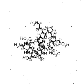 CC[C@H](C)[C@H](NC(=O)[C@H](CC(=O)O)NC(=O)[C@H](CC(=O)O)NC(=O)[C@@H]1CCCN1C(=O)[C@H](Cc1ccc(O)cc1)NC(=O)CN)C(=O)N[C@H](C(=O)N[C@@H](CO)C(=O)N[C@@H](CC(N)=O)C(=O)N[C@@H](CC(=O)O)C(=O)O)C(C)C